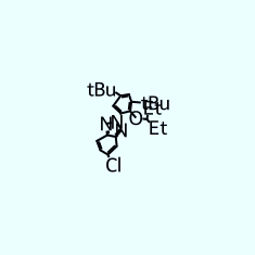 CCC(CC)Oc1c(-n2nc3ccc(Cl)cc3n2)cc(C(C)(C)C)cc1C(C)(C)C